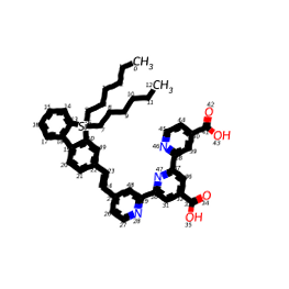 CCCCCC[Si]1(CCCCCC)c2ccccc2-c2ccc(/C=C/c3ccnc(-c4cc(C(=O)O)cc(-c5cc(C(=O)O)ccn5)n4)c3)cc21